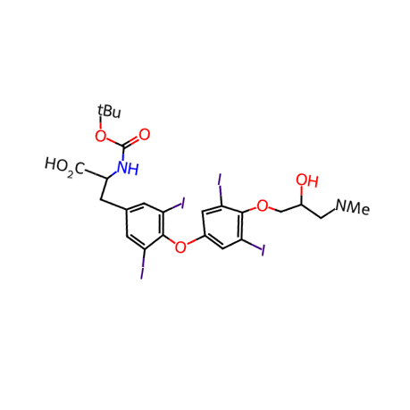 CNCC(O)COc1c(I)cc(Oc2c(I)cc(CC(NC(=O)OC(C)(C)C)C(=O)O)cc2I)cc1I